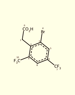 O=C(O)Cc1c(Br)cc(C(F)(F)F)cc1C(F)(F)F